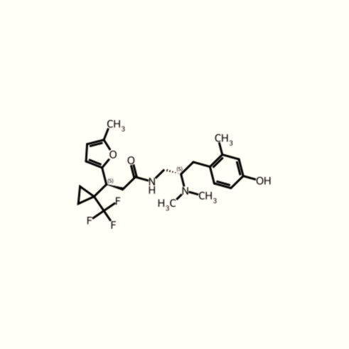 Cc1ccc([C@@H](CC(=O)NC[C@H](Cc2ccc(O)cc2C)N(C)C)C2(C(F)(F)F)CC2)o1